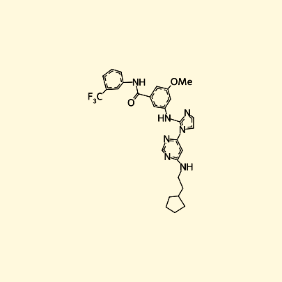 COc1cc(Nc2nccn2-c2cc(NCCC3CCCC3)ncn2)cc(C(=O)Nc2cccc(C(F)(F)F)c2)c1